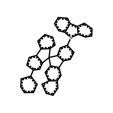 c1ccc(-c2ccc3c(c2)C2(c4ccccc4-3)c3cc(-n4c5ccccc5c5ccccc54)ccc3-c3cc4ccccc4cc32)cc1